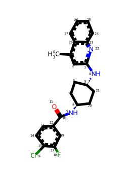 Cc1cc(N[C@H]2CC[C@@H](NC(=O)c3ccc(Cl)c(F)c3)CC2)nc2ccccc12